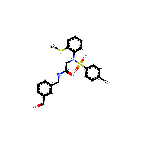 CSc1ccccc1N(CC(=O)NCc1cccc(C=O)c1)S(=O)(=O)c1ccc(C)cc1